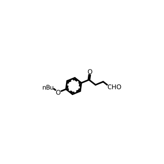 CCCCOc1ccc(C(=O)CCC=O)cc1